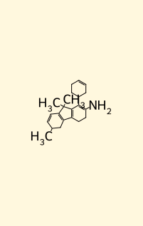 CC1C=CC2=C(C1)C1=C(C(C3CC=CCC3)=C(N)CC1)C2(C)C